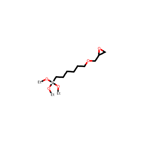 CCO[Si](CCCCCCOCC1CO1)(OCC)OCC